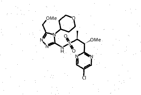 COCc1nnc(NS(=O)(=O)[C@@H](C)[C@H](OC)c2ncc(Cl)cn2)n1C1CCOCC1